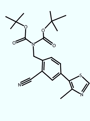 Cc1ncsc1-c1ccc(CN(C(=O)OC(C)(C)C)C(=O)OC(C)(C)C)c(C#N)c1